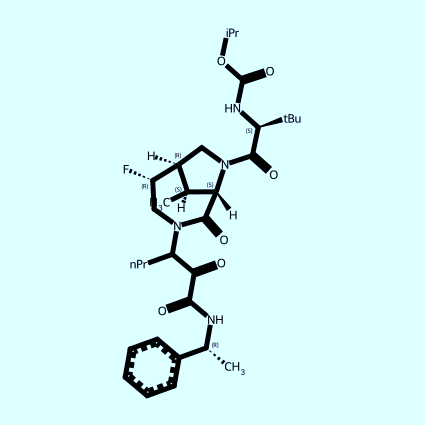 CCCC(C(=O)C(=O)N[C@H](C)c1ccccc1)N1C[C@H](F)[C@H]2CN(C(=O)[C@@H](NC(=O)OC(C)C)C(C)(C)C)[C@H](C1=O)[C@H]2C